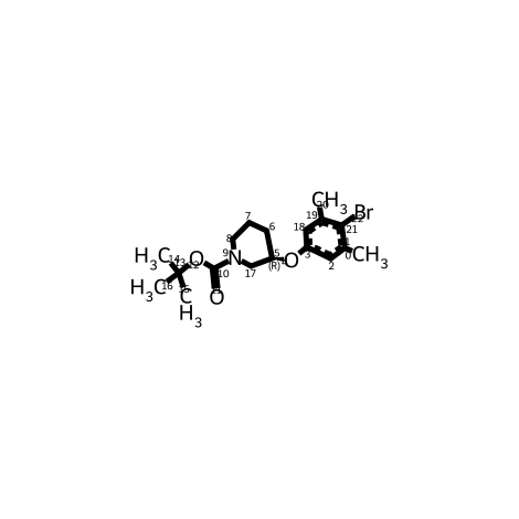 Cc1cc(O[C@@H]2CCCN(C(=O)OC(C)(C)C)C2)cc(C)c1Br